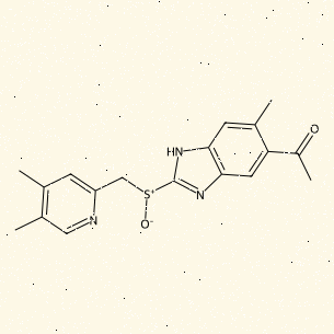 CC(=O)c1cc2nc([S+]([O-])Cc3cc(C)c(C)cn3)[nH]c2cc1C